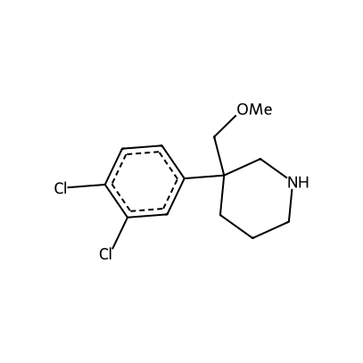 COCC1(c2ccc(Cl)c(Cl)c2)CCCNC1